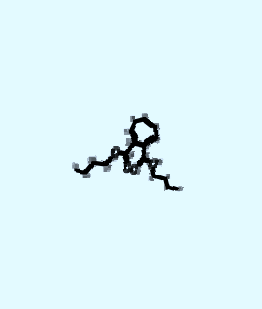 CCCCOC(=O)C1=CC=CCC=C1C(=O)OCCCC